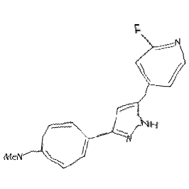 CNc1ccc(-c2cc(-c3ccnc(F)c3)[nH]n2)cc1